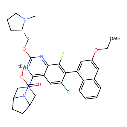 COCOc1cc(-c2c(Cl)cc3c(N4CC5CCC(C4)N5C(=O)OC(C)(C)C)nc(OC[C@@H]4CCCN4C)nc3c2F)c2ccccc2c1